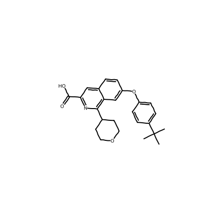 CC(C)(C)c1ccc(Oc2ccc3cc(C(=O)O)nc(C4CCOCC4)c3c2)cc1